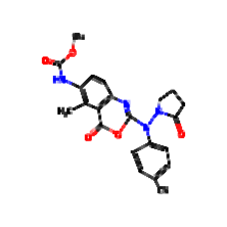 Cc1c(NC(=O)OC(C)(C)C)ccc2nc(N(c3ccc(C#N)cc3)N3CCCC3=O)oc(=O)c12